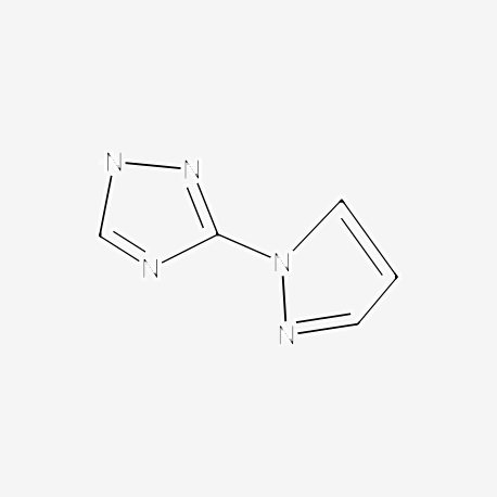 C1=NC(n2cccn2)=N[N]1